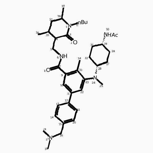 CCCCN1C(=O)C(CNC(=O)c2cc(-c3ccc(CN(C)C)cc3)cc(N(C)[C@H]3CC[C@@H](NC(C)=O)CC3)c2C)C(C)CC1C